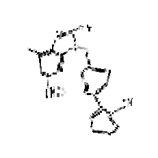 CCCc1nc2c(C)cc(C=O)cc2n1Cc1ccc(-c2ccccc2C#N)cc1